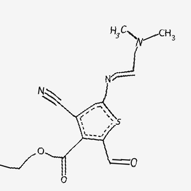 CCOC(=O)c1c(C=O)sc(N=CN(C)C)c1C#N